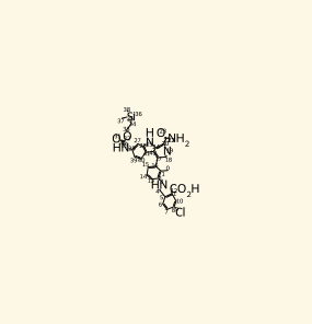 Cc1c(NCc2ccc(Cl)cc2C(=O)O)cccc1-c1cnc(C(N)=O)c2[nH]c3cc(NC(=O)OCC[Si](C)(C)C)ccc3c12